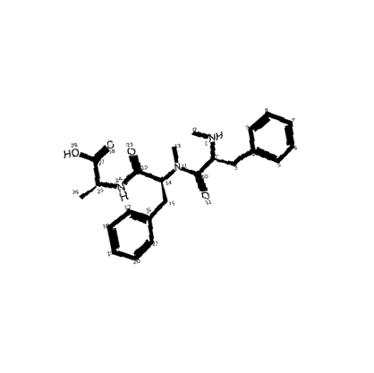 CN[C@@H](Cc1ccccc1)C(=O)N(C)[C@@H](Cc1ccccc1)C(=O)N[C@@H](C)C(=O)O